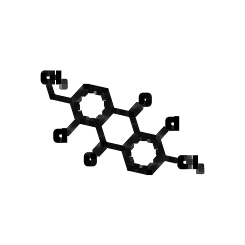 CCc1ccc2c(c1Cl)C(=O)c1ccc(C)c(Cl)c1C2=O